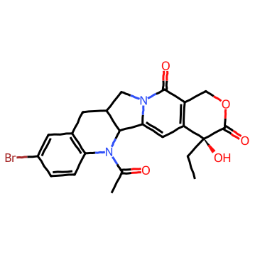 CC[C@@]1(O)C(=O)OCc2c1cc1n(c2=O)CC2Cc3cc(Br)ccc3N(C(C)=O)C12